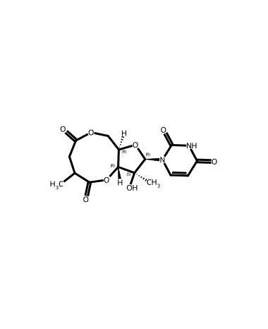 CC1CC(=O)OC[C@H]2O[C@@H](n3ccc(=O)[nH]c3=O)[C@@](C)(O)[C@@H]2OC1=O